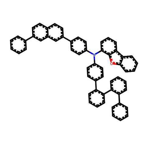 c1ccc(-c2ccc3ccc(-c4ccc(N(c5ccc(-c6ccccc6-c6ccccc6-c6ccccc6)cc5)c5cccc6c5oc5ccccc56)cc4)cc3c2)cc1